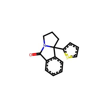 O=C1c2ccccc2C2(c3cccs3)CCCN12